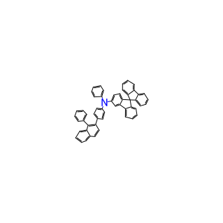 c1ccc(-c2c(-c3ccc(N(c4ccccc4)c4ccc5c(c4)-c4ccccc4C54c5ccccc5-c5ccccc54)cc3)ccc3ccccc23)cc1